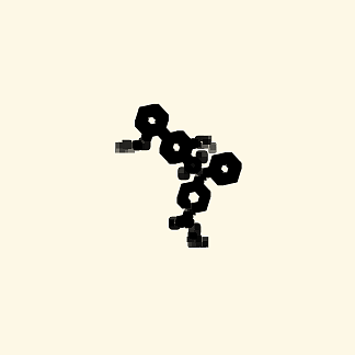 CCCOc1ccccc1-c1ccc(S(=O)(=O)N(c2ccccc2)C2CCN(C(=O)OC(C)(C)C)CC2)c(C(F)(F)F)c1